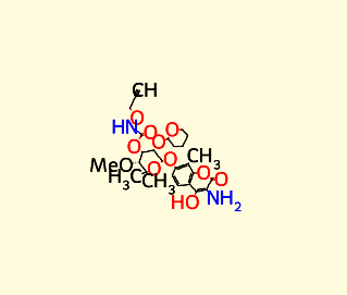 C#CCONC(=O)O[C@@H]1[C@H](OC2CCCCO2)[C@H](Oc2ccc3c(O)c(N)c(=O)oc3c2C)OC(C)(C)[C@@H]1OC